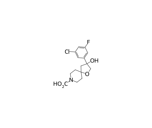 O=C(O)N1CCC2(CC1)CC(O)(c1cc(F)cc(Cl)c1)CO2